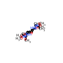 CC[C@H](C)[C@H](NC(=O)OC)C(=O)N1C[C@@H](C)CC1c1ncc(-c2ccc3c(c2)COc2cc4c(ccc5nc([C@@H]6CC(COC)CN6C(=O)[C@@H](NC(=O)OC)C(C)C)[nH]c54)cc2-3)[nH]1